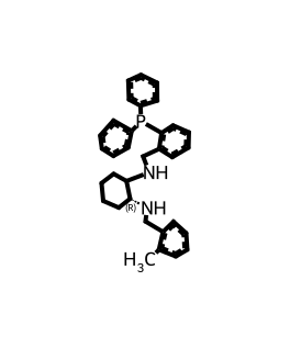 Cc1ccccc1CN[C@@H]1CCCCC1NCc1ccccc1P(c1ccccc1)c1ccccc1